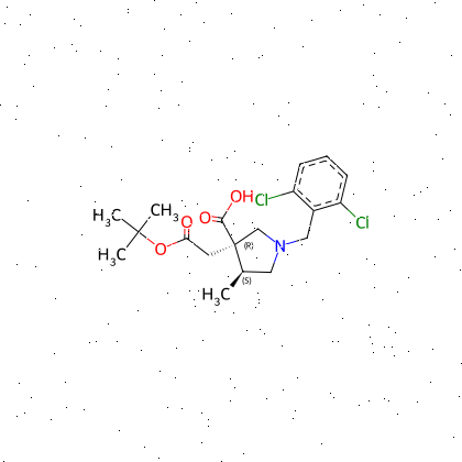 C[C@@H]1CN(Cc2c(Cl)cccc2Cl)C[C@]1(CC(=O)OC(C)(C)C)C(=O)O